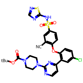 CC(C)(C)OC(=O)N1CCN(c2nccc(-c3cc(Cl)ccc3Oc3ccc(S(=O)(=O)Nc4ncns4)cc3C#N)n2)CC1